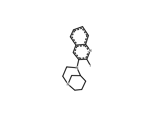 Ic1nc2ccccc2cc1N1CCN2CCCC1C2